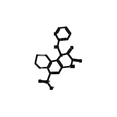 O=c1[nH]c2cc([N+](=O)[O-])c3c(c2n(Nc2ccccn2)c1=O)CCCC3